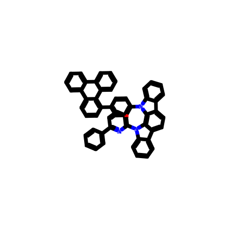 c1ccc(-c2cccc(-n3c4ccccc4c4ccc5c6ccccc6n(-c6ccc(-c7cccc8c9ccccc9c9ccccc9c78)cc6)c5c43)n2)cc1